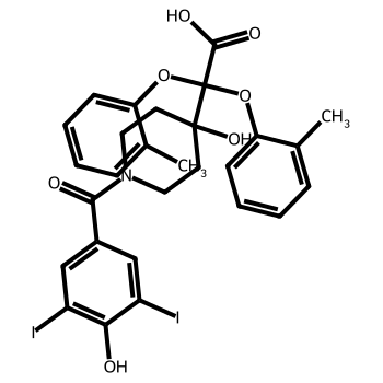 Cc1ccccc1OC(Oc1ccccc1C)(C(=O)O)C1(O)CCN(C(=O)c2cc(I)c(O)c(I)c2)CC1